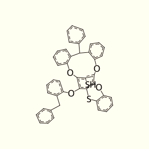 Sc1c2c(Oc3ccccc3Cc3ccccc3)c3c(c1Oc1ccccc1C(c1ccccc1)c1ccccc1O2)Oc1ccccc1S3